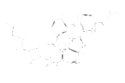 CCCCO[C@H]1C[C@@H](S(=O)(=O)Nc2cnc3nc(-c4cccc(OCC)n4)n(-c4c(OC)cccc4OC)c3n2)C1